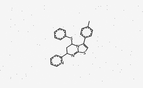 Cc1ccc(C2=CSC3=NC(c4ccccn4)CC(Sc4ccccc4)N23)cc1